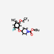 CC(C)(C)OC(=O)N1CCC(Oc2cc(OCC(F)(F)F)c(C#N)cc2F)CC1